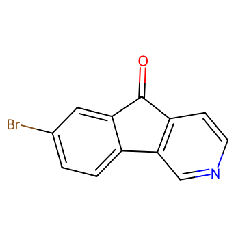 O=C1c2cc(Br)ccc2-c2cnccc21